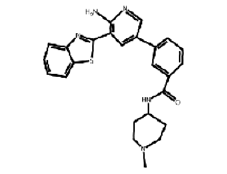 CN1CCC(NC(=O)c2cccc(-c3cnc(N)c(-c4nc5ccccc5s4)c3)c2)CC1